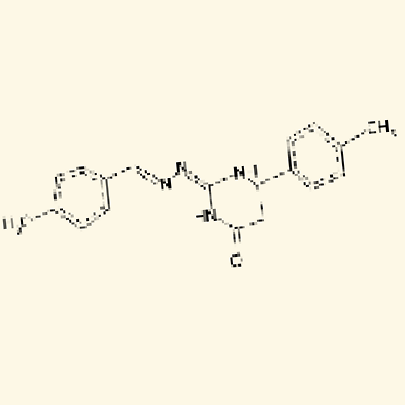 Cc1ccc(C=NN=C2NC(=O)CC(c3ccc(C)cc3)N2)cc1